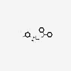 O=C(NCC(c1ccccc1)c1ccccc1)c1ncn(-c2cc(Cl)c(O)c(Cl)c2)n1